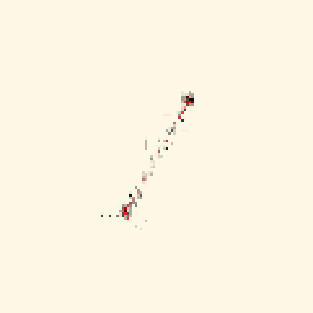 COc1ccc(C[C@@H]2[C@H](OC(C)=O)[C@@H](O)CN2C(=O)CCC(=O)NCCOCCOCCOCCOCCOCCOCCOCCOCCNC(=O)CCCCCNC(=O)CCCCCNC(=O)CCCC[C@@H]2SC[C@@H]3NC(=O)N[C@@H]32)cc1